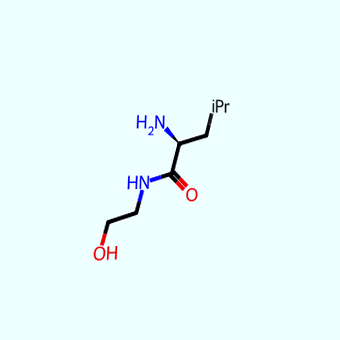 CC(C)C[C@H](N)C(=O)NCCO